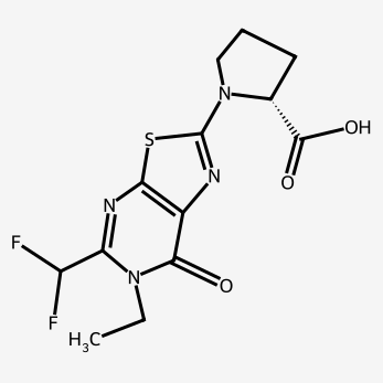 CCn1c(C(F)F)nc2sc(N3CCC[C@@H]3C(=O)O)nc2c1=O